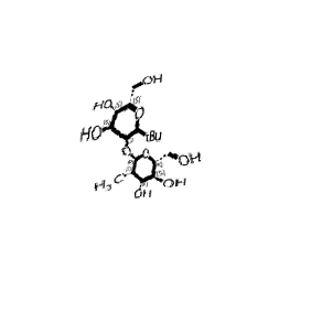 C[C@@H]1[C@@H](O[C@@H]2C(C(C)(C)C)O[C@@H](CO)[C@@H](O)[C@@H]2O)O[C@H](CO)[C@@H](O)[C@@H]1O